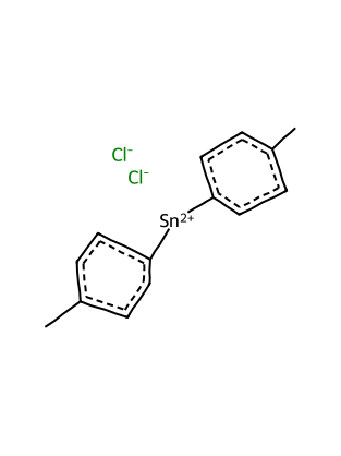 Cc1cc[c]([Sn+2][c]2ccc(C)cc2)cc1.[Cl-].[Cl-]